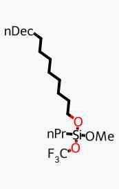 CCCCCCCCCCCCCCCCCCO[Si](CCC)(OC)OC(F)(F)F